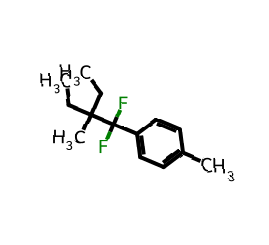 CCC(C)(CC)C(F)(F)c1ccc(C)cc1